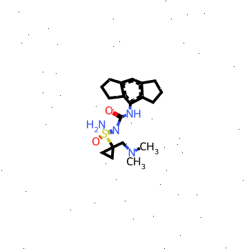 CN(C)CC1(S(N)(=O)=NC(=O)Nc2c3c(cc4c2CCC4)CCC3)CC1